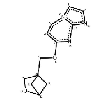 c1cn2ccc(OCC34COC(C3)C4)nc2n1